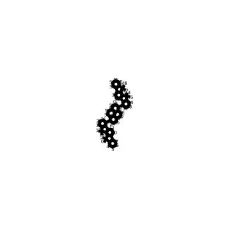 CC1(C)c2ccccc2-c2ccc3c(c21)C(C)(C)c1cccc(-c2ccc4ccc5c(-c6cccc7c6-c6ccc8c(c6C7(C)C)C(C)(C)c6ccccc6-8)ccc6ccc2c4c65)c1-3